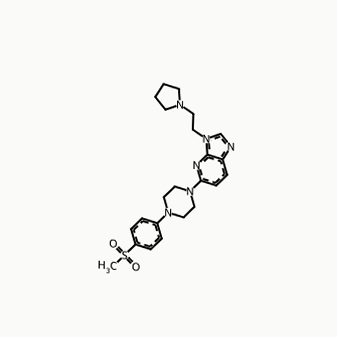 CS(=O)(=O)c1ccc(N2CCN(c3ccc4ncn(CCN5CCCC5)c4n3)CC2)cc1